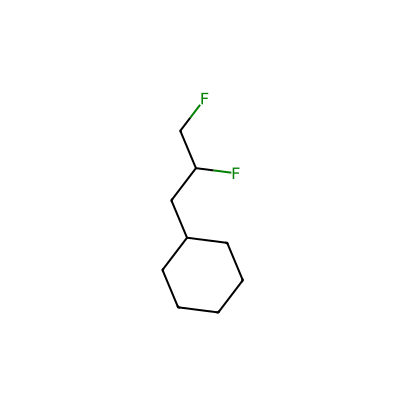 FCC(F)CC1CCCCC1